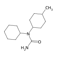 CC1CCC(N(C(N)=O)C2CCCCC2)CC1